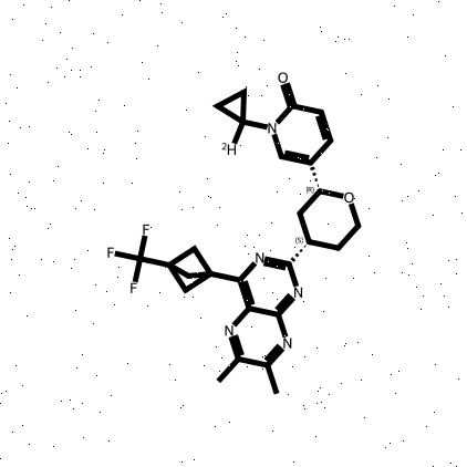 [2H]C1(n2cc([C@H]3C[C@@H](c4nc(C56CC(C(F)(F)F)(C5)C6)c5nc(C)c(C)nc5n4)CCO3)ccc2=O)CC1